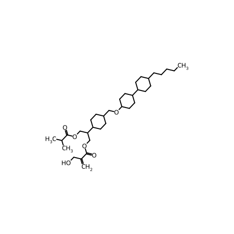 C=C(CO)C(=O)OCC(COC(=O)C(C)C)C1CCC(COC2CCC(C3CCC(CCCCC)CC3)CC2)CC1